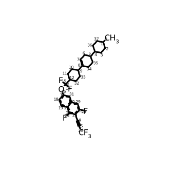 CC1CCC(C2CC=C(C3CCC(C(F)(F)Oc4ccc5c(F)c(C#CC(F)(F)F)c(F)cc5c4)CC3)CC2)CC1